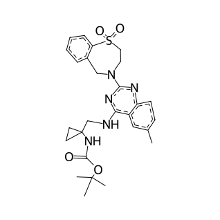 Cc1ccc2nc(N3CCS(=O)(=O)c4ccccc4C3)nc(NCC3(NC(=O)OC(C)(C)C)CC3)c2c1